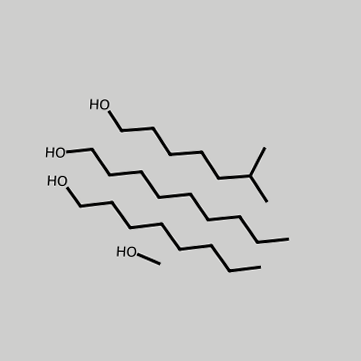 CC(C)CCCCCO.CCCCCCCCCO.CCCCCCCCO.CO